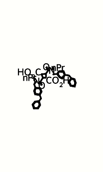 CCCN(Cc1ccc(Cc2ccccc2)cc1)C(=O)C1C(C(=O)O)C(C(=O)N(CCC)Cc2ccc(Cc3ccccc3)cc2)C1C(=O)O